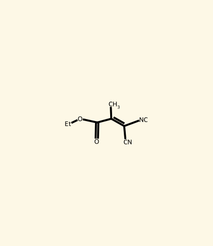 [C-]#[N+]/C(C#N)=C(\C)C(=O)OCC